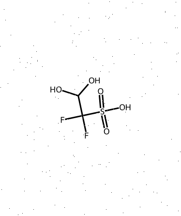 O=S(=O)(O)C(F)(F)C(O)O